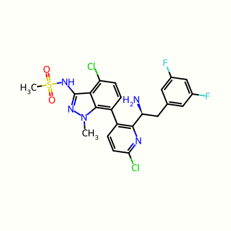 Cn1nc(NS(C)(=O)=O)c2c(Cl)ccc(-c3ccc(Cl)nc3[C@@H](N)Cc3cc(F)cc(F)c3)c21